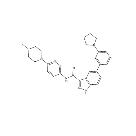 CC1CCN(c2ccc(NC(=O)c3n[nH]c4ccc(-c5cncc(N6CCCC6)c5)cc34)cn2)CC1